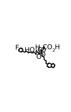 O=C(O)COC(C(=O)O)C(OCCCCCc1ccc2ccccc2c1)C(=O)NCCCCCCCc1ccc(F)cc1